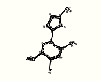 COc1cc(-c2ncc(C(F)(F)F)s2)c(C)cc1Br